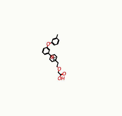 Cc1cccc(Oc2cccc(C34CCC(CCOCC(=O)O)(CC3)CO4)c2)c1